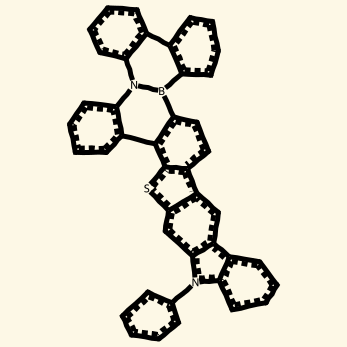 c1ccc(-n2c3ccccc3c3cc4c(cc32)sc2c3c(ccc24)B2c4ccccc4-c4ccccc4N2c2ccccc2-3)cc1